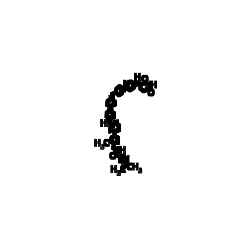 Cc1cc(-c2ccnc(Nc3ccc(N4CCN(CC5CCN(c6ccc(NC7CCC(=O)NC7=O)cn6)CC5)CC4)cc3)n2)ccc1CNC(=O)c1cnn(C(C)C)c1